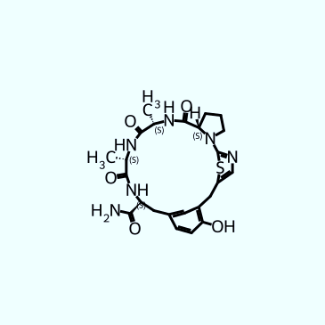 C[C@@H]1NC(=O)[C@H](C)NC(=O)[C@@H]2CCCN2c2ncc(s2)Cc2cc(ccc2O)C[C@@H](C(N)=O)NC1=O